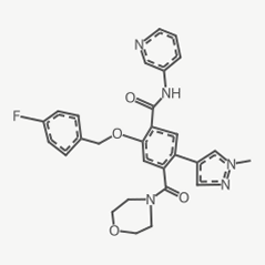 Cn1cc(-c2cc(C(=O)Nc3cccnc3)c(OCc3ccc(F)cc3)cc2C(=O)N2CCOCC2)cn1